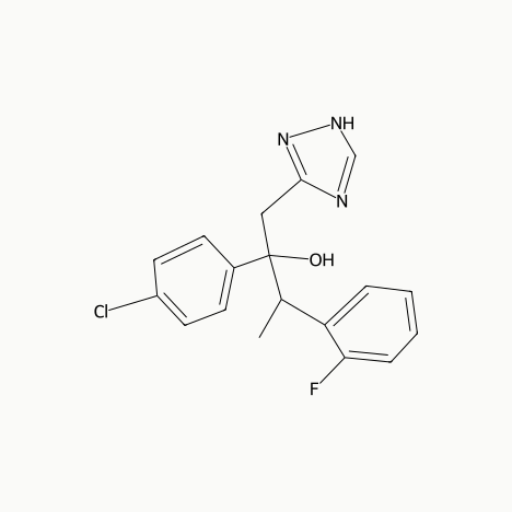 CC(c1ccccc1F)C(O)(Cc1nc[nH]n1)c1ccc(Cl)cc1